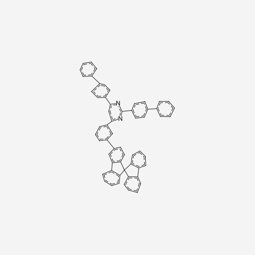 c1ccc(-c2ccc(-c3cc(-c4cccc(-c5ccc6c(c5)-c5ccccc5C65c6ccccc6-c6ccccc65)c4)nc(-c4ccc(-c5ccccc5)cc4)n3)cc2)cc1